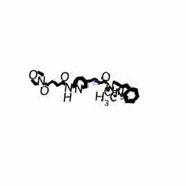 CN(Cc1cc2ccccc2n1C)C(=O)/C=C/c1ccc(NC(=O)CCC(=O)N2CCOCC2)nc1